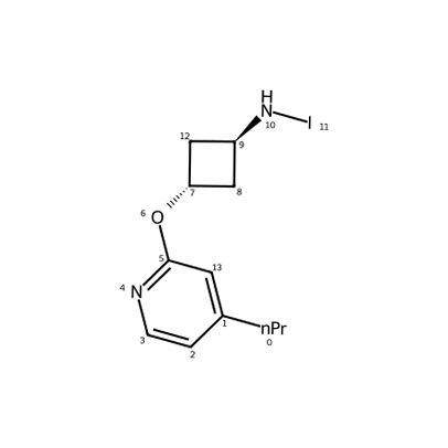 CCCc1ccnc(O[C@H]2C[C@H](NI)C2)c1